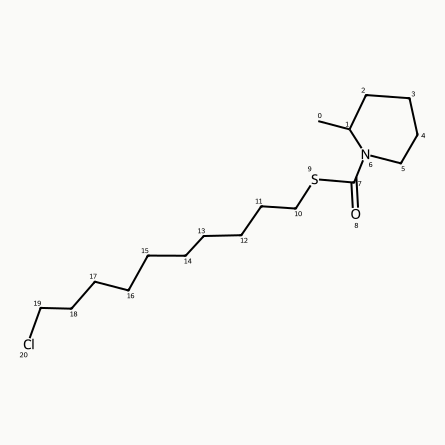 CC1CCCCN1C(=O)SCCCCCCCCCCCl